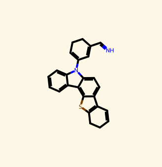 N=CC1=CC(n2c3ccccc3c3c4sc5c(c4ccc32)C=CCC5)=CCC1